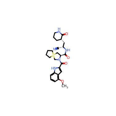 COc1cccc2[nH]c(C(=O)N3CS4(CCCC4)C[C@H]3C(=O)N[C@H](C#N)C[C@@H]3CCCNC3=O)cc12